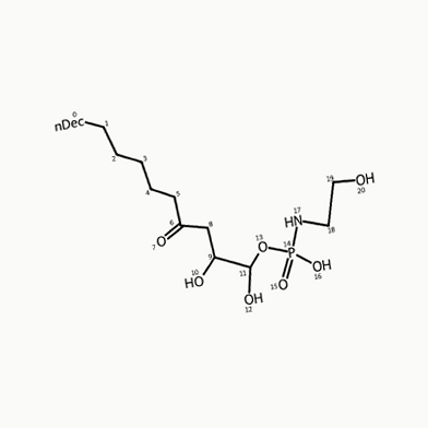 CCCCCCCCCCCCCCCC(=O)CC(O)C(O)OP(=O)(O)NCCO